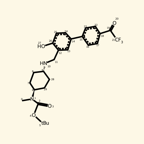 CN(C(=O)OC(C)(C)C)[C@H]1CC[C@H](NCc2cc(-c3ccc(C(=O)C(F)(F)F)cc3)ccc2O)CC1